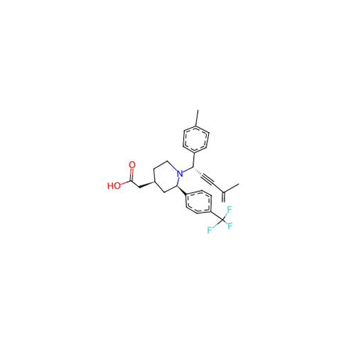 C=C(C)C#C[C@@H](c1ccc(C)cc1)N1CC[C@H](CC(=O)O)C[C@@H]1c1ccc(C(F)(F)F)cc1